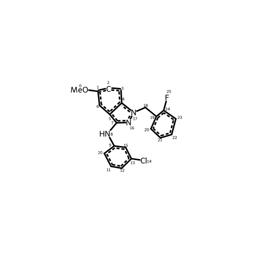 COc1ccc2c(c1)c(Nc1cccc(Cl)c1)nn2Cc1ccccc1F